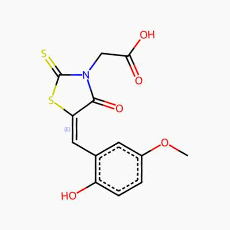 COc1ccc(O)c(/C=C2/SC(=S)N(CC(=O)O)C2=O)c1